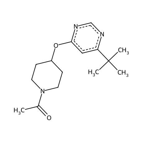 CC(=O)N1CCC(Oc2cc(C(C)(C)C)ncn2)CC1